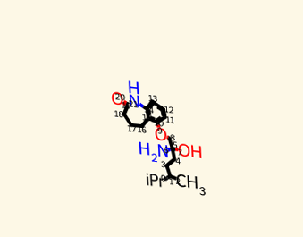 CC(C)C(C)CCC(N)(O)COc1cccc2c1CCCC(=O)N2